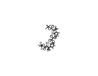 CC(C)(C)OC(=O)NC1([C@@H]2CCN(OC(=O)C(=O)ON3CC[C@@H](C4(NC(=O)OC(C)(C)C)CC4)C3)C2)CC1